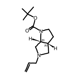 C=CCN1C[C@H]2CCN(C(=O)OC(C)(C)C)[C@H]2C1